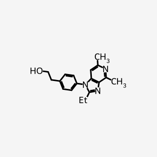 CCc1nc2c(C)nc(C)cc2n1-c1ccc(CCO)cc1